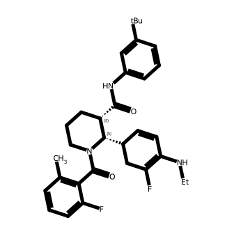 CCNC1=C(F)CC([C@H]2[C@@H](C(=O)Nc3cccc(C(C)(C)C)c3)CCCN2C(=O)c2c(C)cccc2F)C=C1